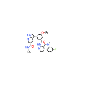 CC(C)Oc1cc(CNc2ncccc2C(=O)N(C)c2cccc(F)c2)cc(-c2c[nH]c3ncc(C(=O)NC4CC4)cc23)c1